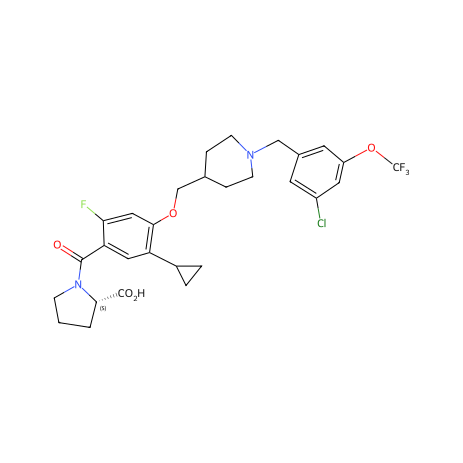 O=C(O)[C@@H]1CCCN1C(=O)c1cc(C2CC2)c(OCC2CCN(Cc3cc(Cl)cc(OC(F)(F)F)c3)CC2)cc1F